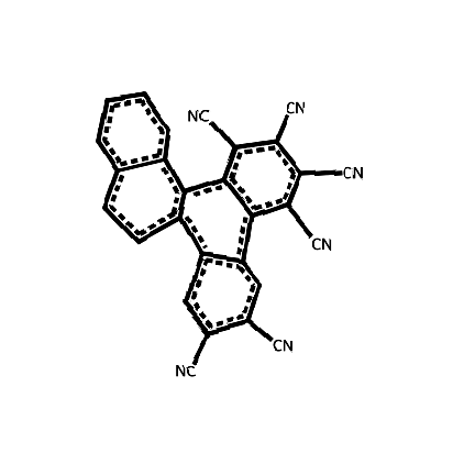 N#Cc1cc2c(cc1C#N)c1c(C#N)c(C#N)c(C#N)c(C#N)c1c1c3ccccc3ccc21